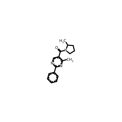 Cc1nc(-c2ccccc2)ncc1C(=O)N1CCCC1C